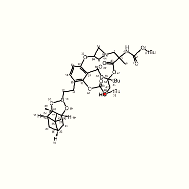 CC(C)(C)OC(=O)NC(C)(CN1CC(Oc2ccc(CCB3O[C@@H]4C[C@@H]5C[C@@H](C5(C)C)[C@]4(C)O3)c(OC(=O)OC(C)(C)C)c2C(=O)OC(C)(C)C)C1)C(=O)OCCO